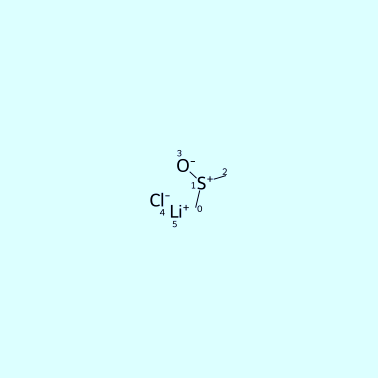 C[S+](C)[O-].[Cl-].[Li+]